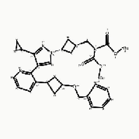 CC(C)(C)OC(=O)N(C[C@H]1C[C@H](n2cc(-c3ncccc3C3CC(OCc4ccccc4)C3)c(C3CC3)n2)C1)C(=O)OC(C)(C)C